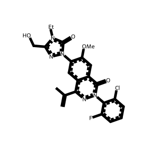 C=C(C)c1nn(-c2c(F)cccc2Cl)c(=O)c2cc(OC)c(-n3nc(CO)n(CC)c3=O)cc12